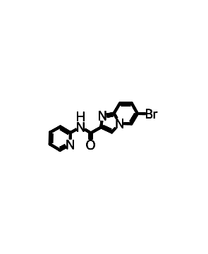 O=C(Nc1ccccn1)c1cn2cc(Br)ccc2n1